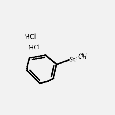 Cl.Cl.Cl.[Sn][c]1ccccc1